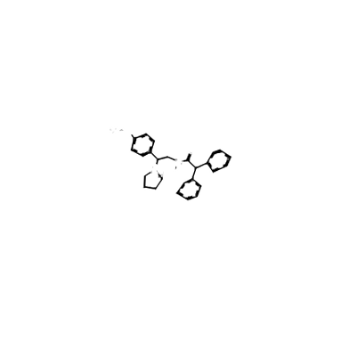 COc1ccc(C(CN(C)C(=O)C(c2ccccc2)c2ccccc2)N2CC[C@H](O)C2)cc1